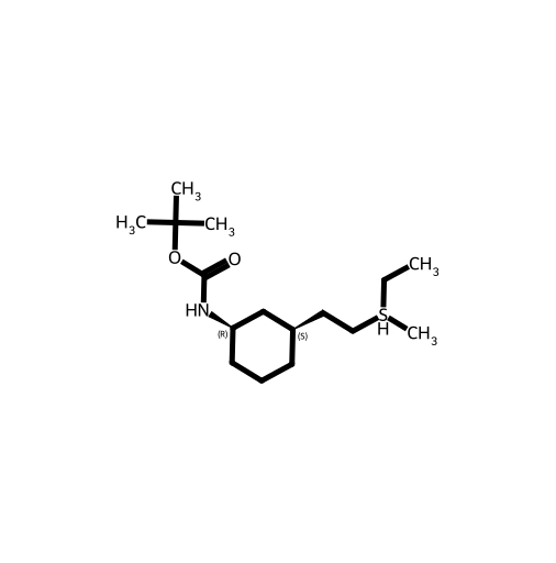 CC[SH](C)CC[C@H]1CCC[C@@H](NC(=O)OC(C)(C)C)C1